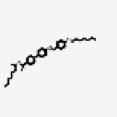 CCCCCCCOc1ccc(COc2ccc(-c3ccc(C(=O)OC(C)CCCCCC)cc3)cc2)cc1